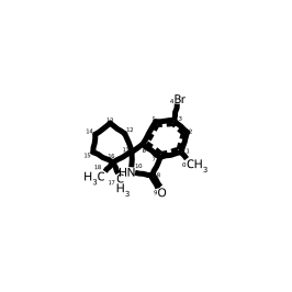 Cc1cc(Br)cc2c1C(=O)NC21CCCCC1(C)C